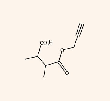 C#CCOC(=O)C(C)C(C)C(=O)O